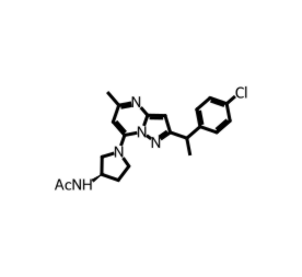 CC(=O)N[C@@H]1CCN(c2cc(C)nc3cc(C(C)c4ccc(Cl)cc4)nn23)C1